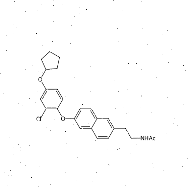 CC(=O)NCCc1ccc2cc(Oc3ccc(OC4CCCC4)cc3Cl)ccc2c1